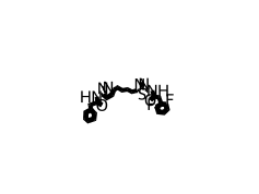 O=C(Cc1ccccc1)Nc1ccc(CCCCc2nnc(NC(=O)Cc3c(F)cccc3F)s2)nn1